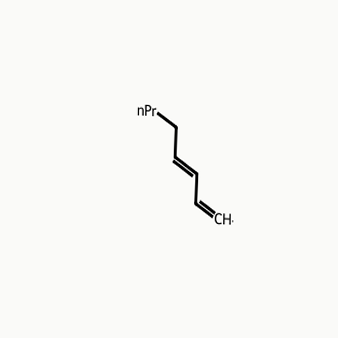 [CH]=CC=CCCC[CH2]